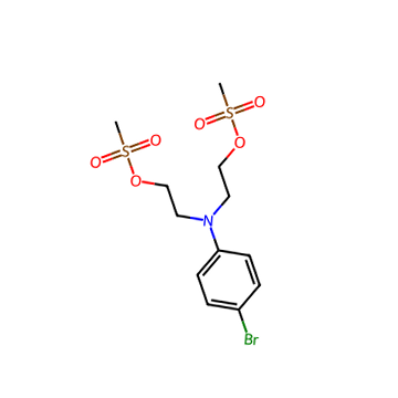 CS(=O)(=O)OCCN(CCOS(C)(=O)=O)c1ccc(Br)cc1